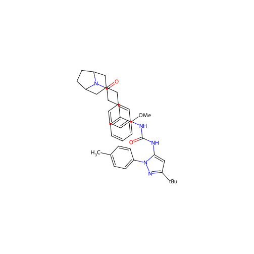 COc1ccccc1CCC(=O)N1C2CCC1CC(Cc1cccc(NC(=O)Nc3cc(C(C)(C)C)nn3-c3ccc(C)cc3)c1)C2